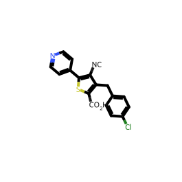 [C-]#[N+]c1c(-c2ccncc2)sc(C(=O)O)c1Cc1ccc(Cl)cc1